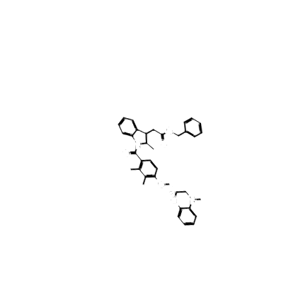 Cc1c(OC[C@@H]2CN(C)c3ccccc3O2)ccc(C(=O)N2c3ccccc3C(CC(=O)OCc3ccccc3)C2C)c1C